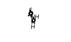 Cc1cc(F)ccc1CNC1CCNCC1